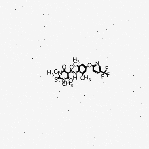 Cc1cc(Oc2ccc(C(F)(F)F)cn2)cc(C)c1NC(=O)C1C(=O)N(C)C(=S)N(C)C1=O